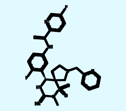 CN1C(=N)N[C@H](c2cc(NC(=O)c3ccc(F)cn3)ccc2F)[C@@]2(CCN(Cc3ccccn3)C2)S1(=O)=O